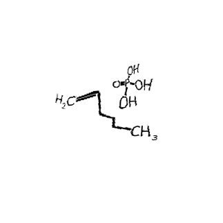 C=CCCCC.O=P(O)(O)O